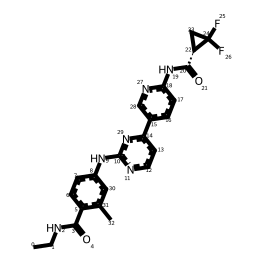 CCNC(=O)c1ccc(Nc2nccc(-c3ccc(NC(=O)[C@@H]4CC4(F)F)nc3)n2)cc1C